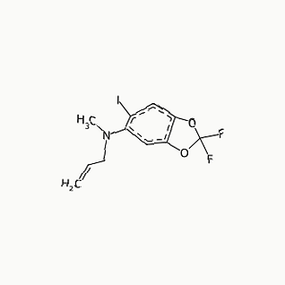 C=CCN(C)c1cc2c(cc1I)OC(F)(F)O2